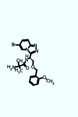 COc1ccccc1COC[C@@H](NC(=O)C(C)(C)N)c1nnc2ccc(Br)cn12